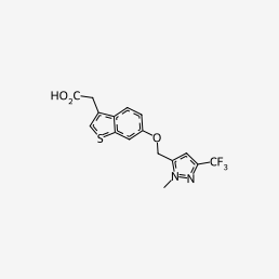 Cn1nc(C(F)(F)F)cc1COc1ccc2c(CC(=O)O)csc2c1